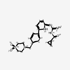 N=C(/N=c1/cccc(-c2ccc(CN3CCS(=O)(=O)CC3)cc2)[nH]1)NC(=O)C1CC1